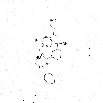 CNCC(CC1CCCCC1)NC(=O)N1CCC[C@@H]([C@@](O)(CCCCOC)c2ccc(F)c(F)c2)C1